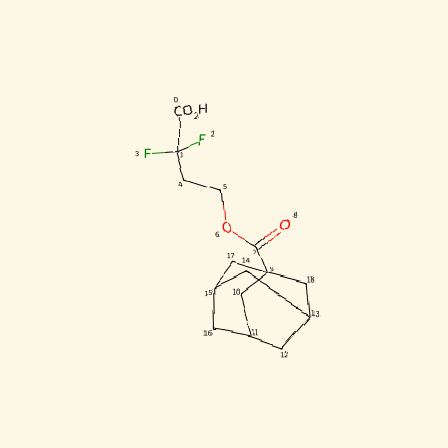 O=C(O)C(F)(F)CCOC(=O)C12CC3CC(CC(C3)C1)C2